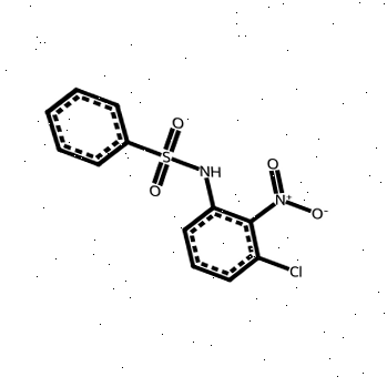 O=[N+]([O-])c1c(Cl)cccc1NS(=O)(=O)c1ccccc1